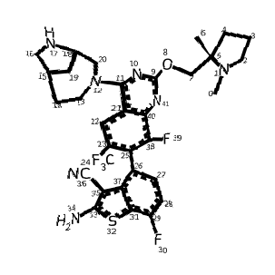 CN1CCC[C@@]1(C)COc1nc(N2CCC3CNC(C3)C2)c2cc(C(F)(F)F)c(-c3ccc(F)c4sc(N)c(C#N)c34)c(F)c2n1